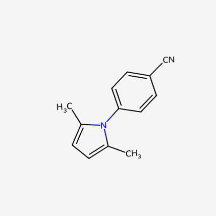 Cc1ccc(C)n1-c1ccc(C#N)cc1